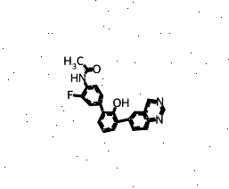 CC(=O)Nc1ccc(-c2cccc(-c3ccc4ncncc4c3)c2O)cc1F